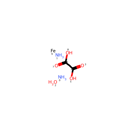 N.N.O.O=C(O)C(=O)O.[Fe]